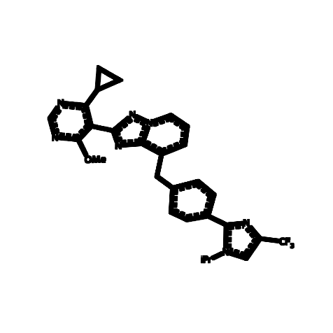 COc1ncnc(C2CC2)c1-c1nc2c(Cc3ccc(-c4nc(C(F)(F)F)cn4C(C)C)cc3)cccn2n1